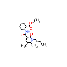 CCCCn1c(C)c(C)cc(C(=O)NC2CCCCC2C(=O)OCC)c1=O